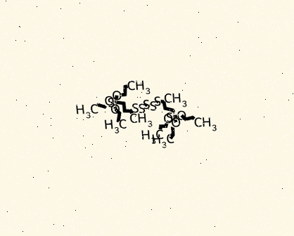 CCCO[Si](CCC(C)SSSSSC(C)CC[Si](OCCC)(OCCC)OCCC)(OCCC)OCCC